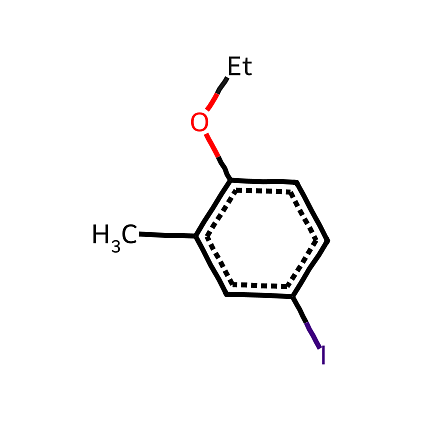 CCOc1ccc(I)cc1C